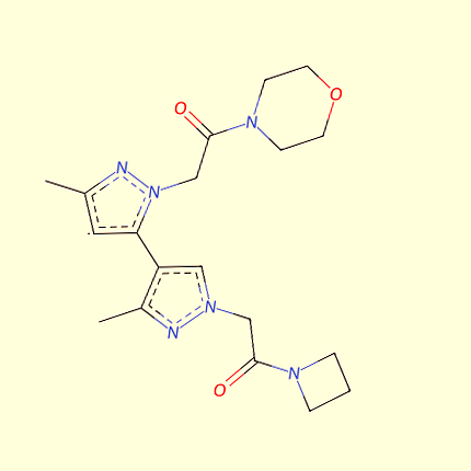 Cc1[c]c(-c2cn(CC(=O)N3CCC3)nc2C)n(CC(=O)N2CCOCC2)n1